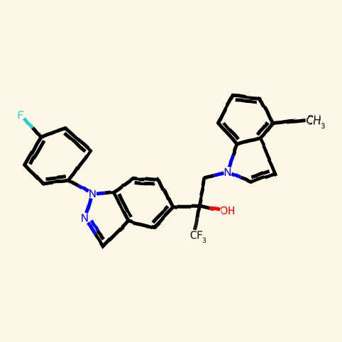 Cc1cccc2c1ccn2CC(O)(c1ccc2c(cnn2-c2ccc(F)cc2)c1)C(F)(F)F